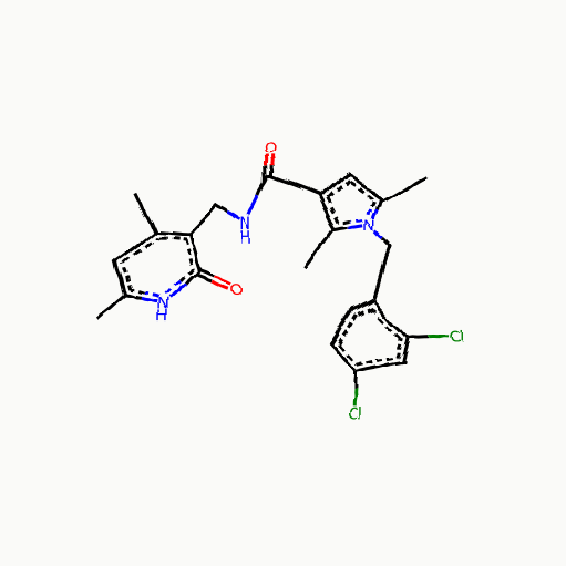 Cc1cc(C)c(CNC(=O)c2cc(C)n(Cc3ccc(Cl)cc3Cl)c2C)c(=O)[nH]1